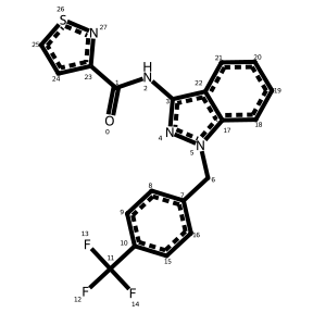 O=C(Nc1nn(Cc2ccc(C(F)(F)F)cc2)c2ccccc12)c1ccsn1